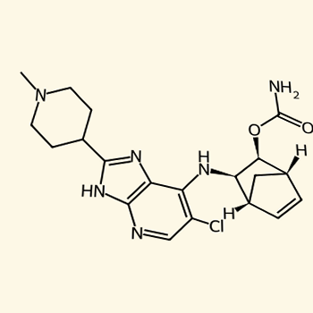 CN1CCC(c2nc3c(N[C@H]4[C@@H](OC(N)=O)[C@@H]5C=C[C@H]4C5)c(Cl)cnc3[nH]2)CC1